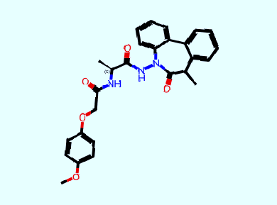 COc1ccc(OCC(=O)N[C@@H](C)C(=O)NN2C(=O)C(C)c3ccccc3-c3ccccc32)cc1